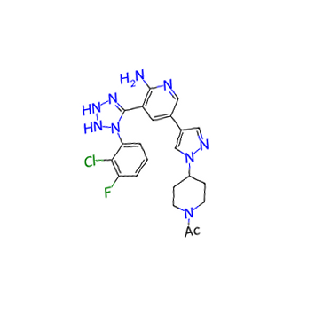 CC(=O)N1CCC(n2cc(-c3cnc(N)c(C4=NNNN4c4cccc(F)c4Cl)c3)cn2)CC1